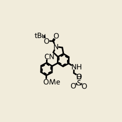 COc1ccc(C#N)c(-c2cc(NCO[SH](=O)=O)cc3c2CN(C(=O)OC(C)(C)C)C3)c1